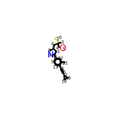 CSC(C)(C=O)CC1CN=C(c2ccc(C#CC3CC3)c(C)c2)C1